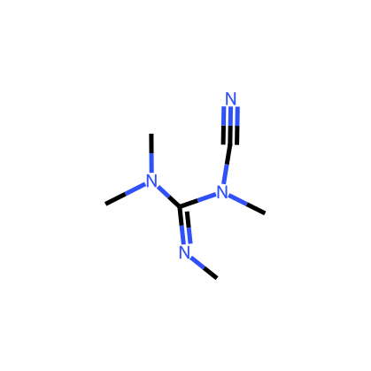 C/N=C(/N(C)C)N(C)C#N